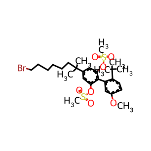 COc1ccc(C(C)(C)C)c(-c2c(OS(C)(=O)=O)cc(C(C)(C)CCCCCCBr)cc2OS(C)(=O)=O)c1